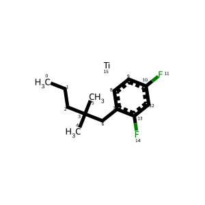 CCCC(C)(C)Cc1ccc(F)[c]c1F.[Ti]